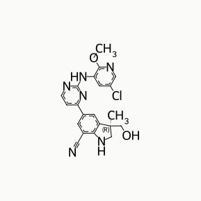 COc1ncc(Cl)cc1Nc1nccc(-c2cc(C#N)c3c(c2)[C@@](C)(CO)CN3)n1